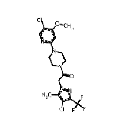 COc1cc(N2CCN(C(=O)Cn3nc(C(F)(F)F)c(Cl)c3C)CC2)ncc1Cl